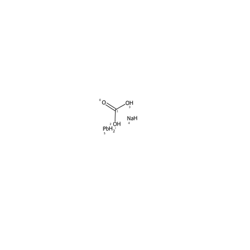 O=C(O)O.[NaH].[PbH2]